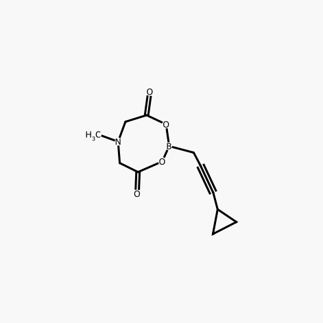 CN1CC(=O)OB(CC#CC2CC2)OC(=O)C1